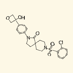 O=C1N(c2ccc(C3(O)COC3)cc2)CCC12CCN(S(=O)(=O)c1ccccc1Cl)CC2